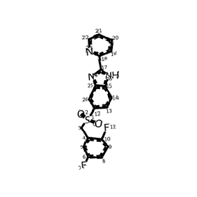 O=S(=O)(Cc1cc(F)ccc1F)c1ccc2[nH]c(-c3ccccn3)nc2c1